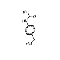 CC(C)(C)Sc1ccc(NC(=O)C(C)(C)C)cc1